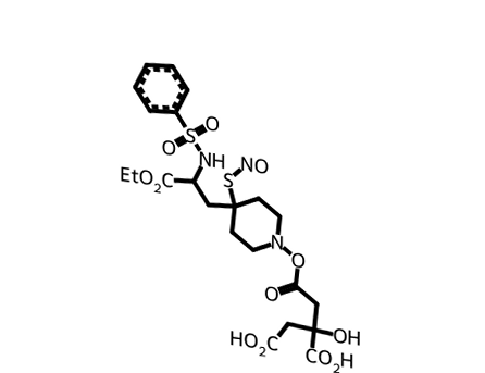 CCOC(=O)C(CC1(SN=O)CCN(OC(=O)CC(O)(CC(=O)O)C(=O)O)CC1)NS(=O)(=O)c1ccccc1